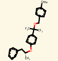 COc1ccc(COC(c2ccc(O[C@H](C)Cc3ccccc3)cc2)(C(F)(F)F)C(F)(F)F)cc1